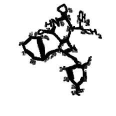 CC(C)n1c(=O)[nH]c(=O)c2c1nc(-c1ccc(F)nc1F)n2Cc1ccccc1